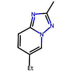 CCc1ccc2nc(C)nn2c1